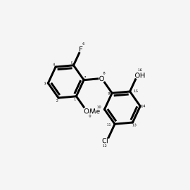 COc1cccc(F)c1Oc1cc(Cl)ccc1O